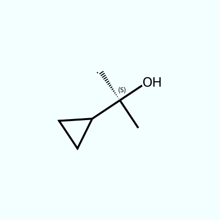 [CH2][C@@](C)(O)C1CC1